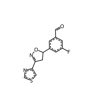 O=Cc1cc(F)cc(C2CC(c3cs[c]n3)=NO2)c1